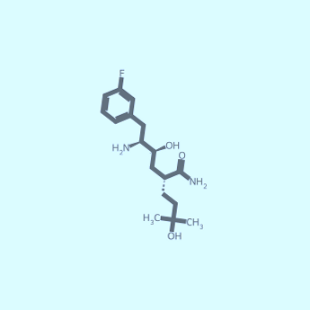 CC(C)(O)CC[C@H](C[C@H](O)[C@@H](N)Cc1cccc(F)c1)C(N)=O